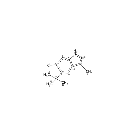 Cc1n[nH]c2cc(Cl)c(C(C)(C)C)cc12